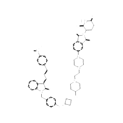 O=C1CCC(N2C(=O)c3ccc(N4CCN(CCN5CCC(O[C@H]6C[C@H](Oc7ccc(CN8C(=O)/C(=C/C=C/c9ccc([N+](=O)[O-])cc9)c9ccccc98)cc7)C6)CC5)CC4)cc3C2=O)C(=O)N1